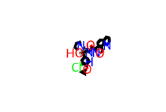 O=C(N[C@H](CN1CCCC1)[C@H](O)c1ccc(OC2CC2)c(Cl)c1)C1=NOCc2c1ccc1cccnc21